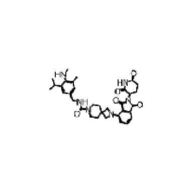 CNc1c(C)cc(CNC(=O)N2CCC3(CC2)CN(c2cccc4c2C(=O)N(C2CCC(=O)NC2=O)C4=O)C3)cc1C(C)C